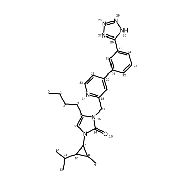 CCCCc1cn(C2C(C)C2C(C)C)c(=O)n1Cc1cc(-c2cccc(-c3nnn[nH]3)c2)ccn1